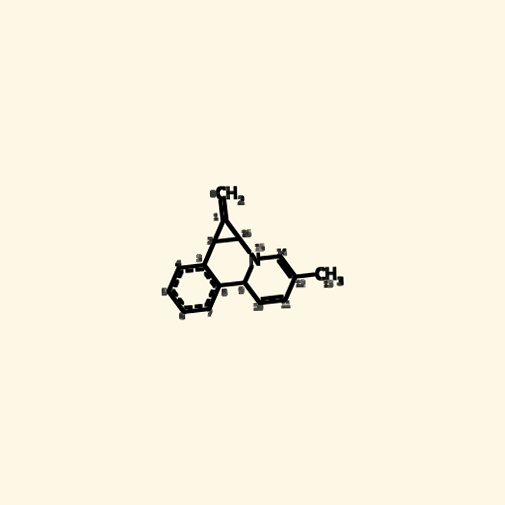 C=C1C2c3ccccc3C3C=CC(C)=CN3C12